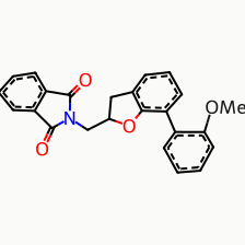 COc1ccccc1-c1cccc2c1OC(CN1C(=O)c3ccccc3C1=O)C2